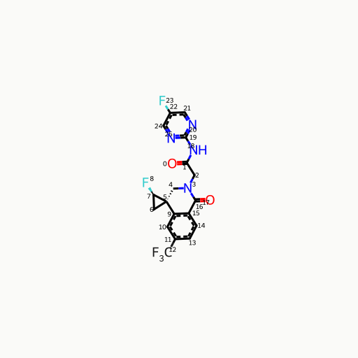 O=C(CN1C[C@@]2(C[C@H]2F)c2cc(C(F)(F)F)ccc2C1=O)Nc1ncc(F)cn1